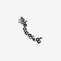 N#Cc1ccc(OC2CC(NC(=O)c3ccc(N4CCC(CN5CCN(c6ccc7c(c6)C(=O)N(C6CCC(=O)NC6O)C7=O)CC5)CC4)nc3)C2)c2cccnc12